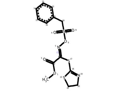 COC(=O)/C(=N/OS(=O)(=O)Cc1ccccc1)SC1=NCCS1